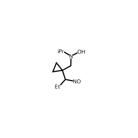 CCC(N=O)C1(CN(O)C(C)C)CC1